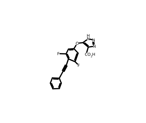 O=C(O)c1nn[nH]c1Oc1cc(F)c(C#Cc2ccccc2)c(F)c1